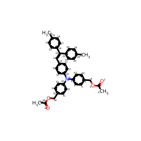 CC(=O)OCc1ccc(N(c2ccc(C=C(c3ccc(C)cc3)c3ccc(C)cc3)cc2)c2ccc(COC(C)=O)cc2)cc1